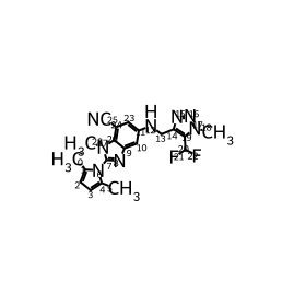 Cc1ccc(C)n1-c1nc2cc(NCc3nnn(C)c3C(F)F)cc(C#N)c2n1C